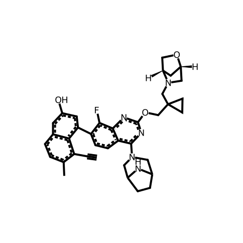 C#Cc1c(C)ccc2cc(O)cc(-c3ccc4c(N5CC6CCC(C5)N6)nc(OCC5(CN6C[C@@H]7C[C@H]6CO7)CC5)nc4c3F)c12